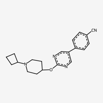 N#Cc1ccc(-c2cnc(OC3CCN(C4CCC4)CC3)nc2)cc1